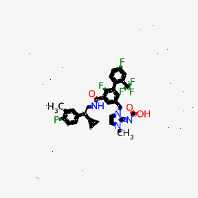 Cc1cc([C@@H](CNC(=O)c2cc(Cn3ccn(C)/c3=N/C(=O)O)cc(-c3ccc(F)cc3C(F)(F)F)c2F)C2CC2)ccc1F